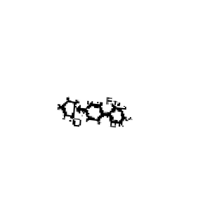 O=C1C=CCCN1c1ccc(-c2ccccc2F)cc1